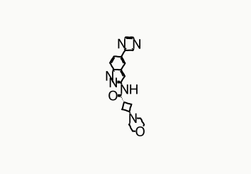 O=C(Nc1cc2cc(-c3cnccn3)ccc2nn1)[C@H]1C[C@H](N2CCOCC2)C1